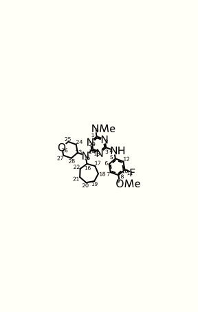 CNc1nc(Nc2ccc(OC)c(F)c2)nc(N(C2CCCCCC2)C2CCOCC2)n1